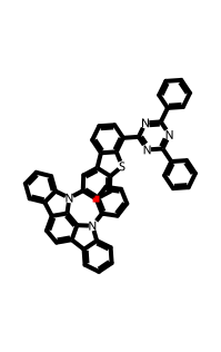 c1ccc(-c2nc(-c3ccccc3)nc(-c3cccc4c3sc3ccc(-n5c6ccccc6c6ccc7c8ccccc8n(-c8ccccc8)c7c65)cc34)n2)cc1